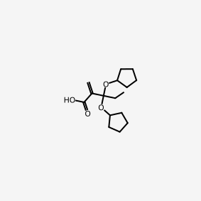 C=C(C(=O)O)C(CC)(OC1CCCC1)OC1CCCC1